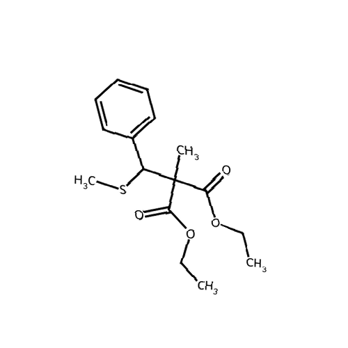 CCOC(=O)C(C)(C(=O)OCC)C(SC)c1ccccc1